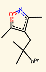 CCCC(C)(C)Cc1c(C)noc1C